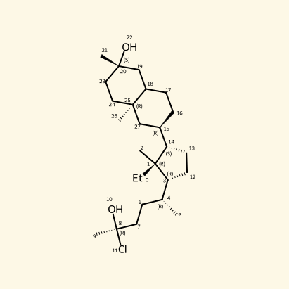 CC[C@]1(C)[C@@H]([C@H](C)CC[C@](C)(O)Cl)CC[C@H]1[C@@H]1CCC2C[C@@](C)(O)CC[C@]2(C)C1